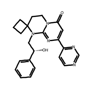 O=c1cc(-c2ccncn2)nc2n1CCC1(CCC1)N2C[C@H](O)c1ccccc1